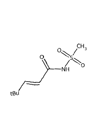 CC(C)(C)/C=C/C(=O)NS(C)(=O)=O